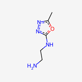 Cc1nnc(NCCN)o1